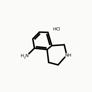 Cl.Nc1cccc2c1CCNC2